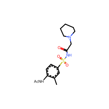 CC(=O)Nc1ccc(S(=O)(=O)NC(=O)CN2CCCCC2)cc1C